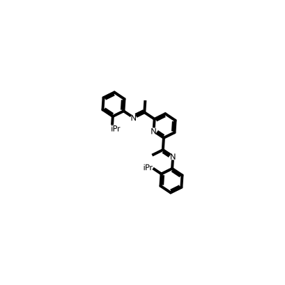 CC(=Nc1ccccc1C(C)C)c1cccc(C(C)=Nc2ccccc2C(C)C)n1